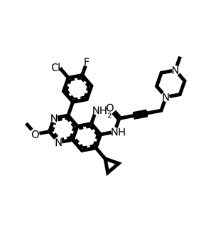 COc1nc(-c2ccc(F)c(Cl)c2)c2c(N)c(NC(=O)C#CCN3CCN(C)CC3)c(C3CC3)cc2n1